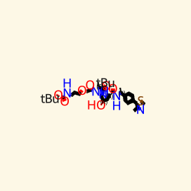 Cc1ncsc1-c1ccc([C@H](C)NC(=O)[C@@H]2C[C@@H](O)CN2C(=O)[C@@H](NC(=O)COCCCNC(=O)OC(C)(C)C)C(C)(C)C)cc1